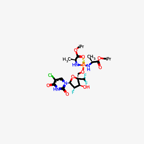 CC(C)OC(=O)[C@H](C)NP(=S)(N[C@@H](C)C(=O)OC(C)C)OC[C@@]1(C(F)F)O[C@@H](n2cc(Cl)c(=O)[nH]c2=O)[C@@H](F)[C@@H]1O